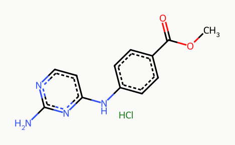 COC(=O)c1ccc(Nc2ccnc(N)n2)cc1.Cl